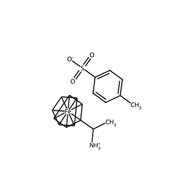 CC([NH3+])[C]12[CH]3[CH]4[CH]5[CH]1[Fe]45321678[CH]2[CH]1[CH]6[CH]7[CH]28.Cc1ccc(S(=O)(=O)[O-])cc1